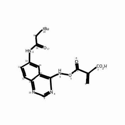 C=C(C(=O)O)C(=O)ONc1ncnc2ccc(NC(=O)CC(C)(C)C)cc12